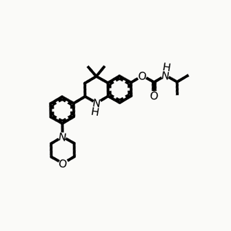 CC(C)NC(=O)Oc1ccc2c(c1)C(C)(C)CC(c1cccc(N3CCOCC3)c1)N2